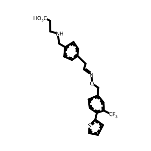 O=C(O)CCNCc1ccc(CC=NOCc2ccc(-c3cccs3)c(C(F)(F)F)c2)cc1